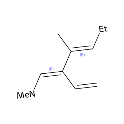 C=CC(=C\NC)/C(C)=C/CC